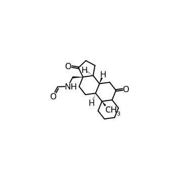 C[C@]12CCCCC1C(=O)C[C@H]1[C@@H]3CCC(=O)[C@@]3(CNC=O)CC[C@@H]12